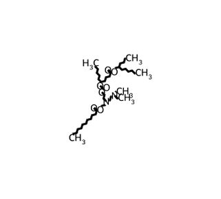 CCCCCCCCCCCC(=O)OCCN(CCOC(=O)OC(CCCCCC)CCCC(=O)OCC(CCCC)CCCCCC)CCN(CC)CC